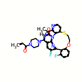 C=CC(=O)N1CCN(c2nc(=O)n3c4nc(c(F)cc24)-c2c(F)cccc2OCCSc2ccnc(C(C)C)c2-3)CC1